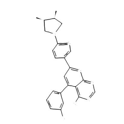 C[C@@H]1CN(c2ccc(-c3cc(-c4cccc(Br)c4)c4c(N)ncnc4n3)cn2)C[C@@H]1O